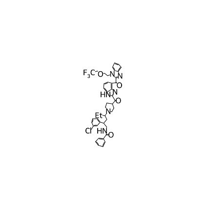 CCC(CC(CNC(=O)c1ccccc1)c1cccc(Cl)c1)N1CCC(C(=O)c2nc3c(C(=O)c4nc5ccccc5n4CCOCC(F)(F)F)cccc3[nH]2)CC1